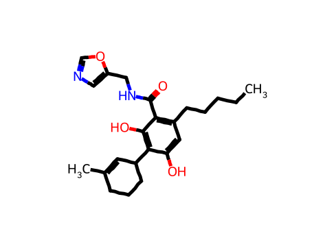 CCCCCc1cc(O)c(C2C=C(C)CCC2)c(O)c1C(=O)NCc1cnco1